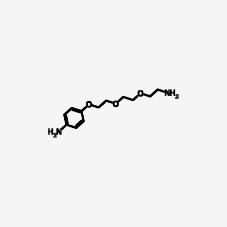 NCCOCCOCCOc1ccc(N)cc1